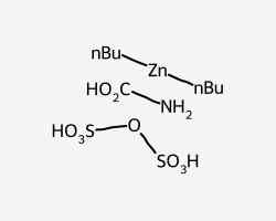 CCC[CH2][Zn][CH2]CCC.NC(=O)O.O=S(=O)(O)OS(=O)(=O)O